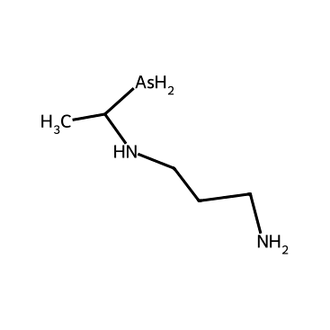 CC([AsH2])NCCCN